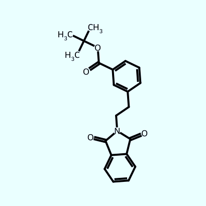 CC(C)(C)OC(=O)c1cccc(CCN2C(=O)c3ccccc3C2=O)c1